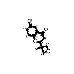 CC1(C2CC(=O)c3cc(Cl)ccc3O2)COC1